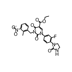 CCOC(=O)c1cn(-c2ccc(N3CCNC3=O)c(F)c2)c(=O)n(Cc2cccc([N+](=O)[O-])c2C)c1=O